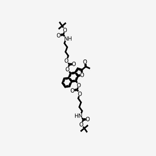 CC(=O)c1cc2c(OC(=O)OCCCCNC(=O)OC(C)(C)C)c3ccccc3c(OC(=O)OCCCCNC(=O)OC(C)(C)C)c2o1